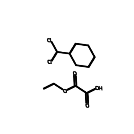 CCOC(=O)C(=O)O.ClC(Cl)C1CCCCC1